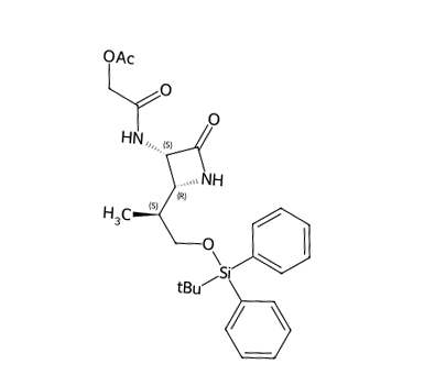 CC(=O)OCC(=O)N[C@@H]1C(=O)N[C@@H]1[C@H](C)CO[Si](c1ccccc1)(c1ccccc1)C(C)(C)C